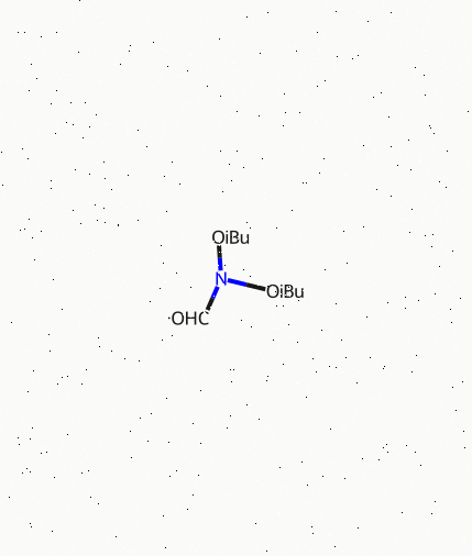 CC(C)CON([C]=O)OCC(C)C